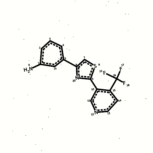 Nc1cccc(-c2csc(-c3cnccc3C(F)(F)F)n2)c1